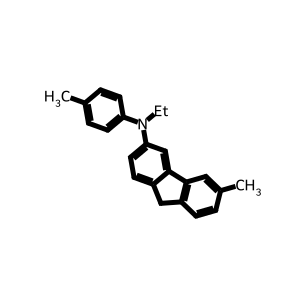 CCN(c1ccc(C)cc1)c1ccc2c(c1)-c1cc(C)ccc1C2